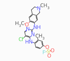 COc1cc2c(cc1Nc1ncc(Cl)c(Nc3ccc(OS(=O)(=O)F)cc3C)n1)CN(C)CC2